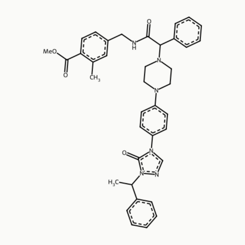 COC(=O)c1ccc(CNC(=O)C(c2ccccc2)N2CCN(c3ccc(-n4cnn(C(C)c5ccccc5)c4=O)cc3)CC2)cc1C